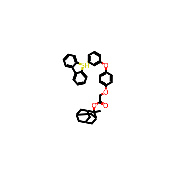 CC1(OC(=O)COc2ccc(Oc3cccc([SH]4c5ccccc5-c5ccccc54)c3)cc2)C2CC3CC(C2)CC1C3